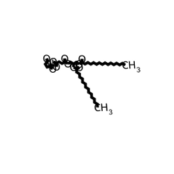 CCCCCCCCCCCCCCCC(=O)OCC(COC(=O)CCC(=O)ON1C(=O)CCC1=O)OC(=O)CCCCCCCCCCCCCCC